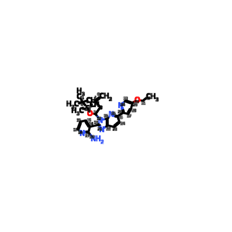 C=CCC(O[Si](C)(C)C(C)(C)C)n1c(-c2cccnc2N)nc2ccc(-c3ccc(OCC)cn3)nc21